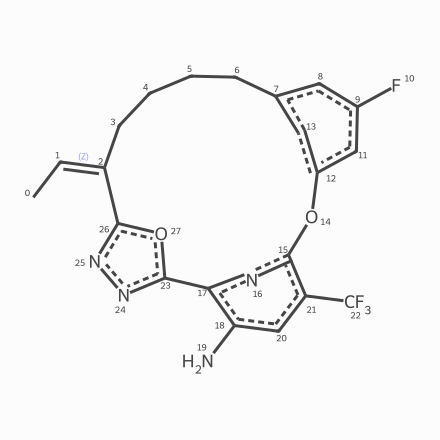 C/C=C1/CCCCc2cc(F)cc(c2)Oc2nc(c(N)cc2C(F)(F)F)-c2nnc1o2